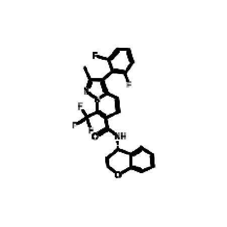 Cc1nn2c(C(F)(F)F)c(C(=O)N[C@H]3CCOc4ccccc43)ccc2c1-c1c(F)cccc1F